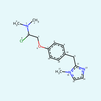 CN(C)C(Cl)COc1ccc(Cc2nccn2C)cc1